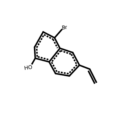 C=Cc1ccc2c(O)ccc(Br)c2c1